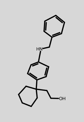 OCCC1(c2ccc(NCc3ccccc3)cc2)CCCCC1